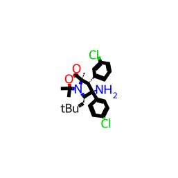 CC(C)(C)C[C@@H]1N2C(C)(C)OC(=O)[C@@]2(C)[C@H](c2cccc(Cl)c2)[C@@]1(N)c1ccc(Cl)cc1